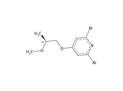 CO[C@@H](C)COc1cc(Br)nc(Br)c1